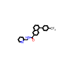 O=C(NCc1ccccn1)c1ccc2c(-c3ccc(C(F)(F)F)cc3)cccc2c1